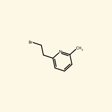 Cc1cccc(CCBr)n1